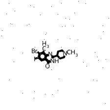 Cc1c(Br)c(I)cc2c(=O)[nH]c(C3CCN(C)CC3)nc12